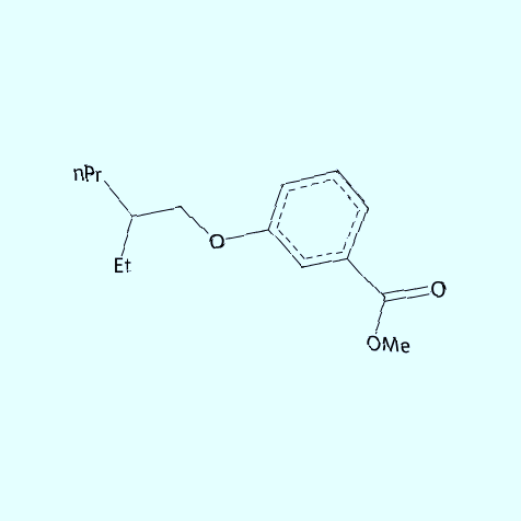 CCCC(CC)COc1cccc(C(=O)OC)c1